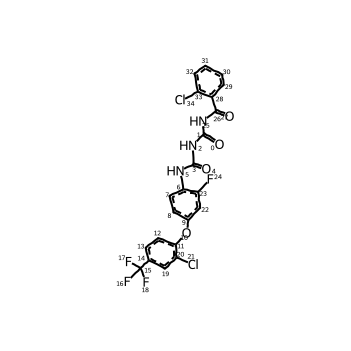 O=C(NC(=O)Nc1ccc(Oc2ccc(C(F)(F)F)cc2Cl)cc1F)NC(=O)c1ccccc1Cl